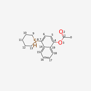 CC(=O)Oc1ccc([SH]2CCCCC2)c2ccccc12